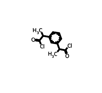 CC(C(=O)Cl)c1cccc(C(C)C(=O)Cl)c1